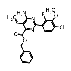 C=Cc1c(N)nc(-c2ccc(Cl)c(OC)c2F)nc1C(=O)OCc1ccccc1